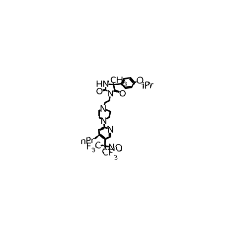 CCCc1cc(N2CCN(CCN3C(=O)NC(C)(c4ccc(OC(C)C)cc4)C3=O)CC2)ncc1C(N=O)(C(F)(F)F)C(F)(F)F